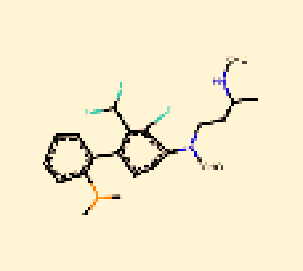 CC(CCN(C=O)c1ccc(-c2ccccc2P(C)C)c(C(F)F)c1F)NC=O